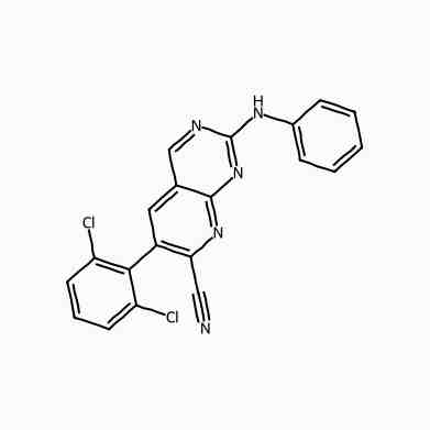 N#Cc1nc2nc(Nc3ccccc3)ncc2cc1-c1c(Cl)cccc1Cl